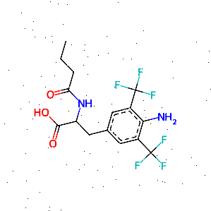 CCCC(=O)NC(Cc1cc(C(F)(F)F)c(N)c(C(F)(F)F)c1)C(=O)O